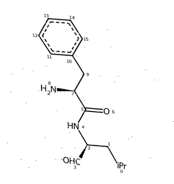 CC(C)C[C@@H]([C]=O)NC(=O)[C@@H](N)Cc1ccccc1